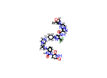 Cn1c(=O)n(C2CCC(=O)NC2=O)c2cccc(N3CC(C)(CN4CCN(C[C@H]5CC[C@H](n6cc(NC(=O)c7cnn8ccc(N9C[C@H]%10CC9CO%10)nc78)c(C(F)F)n6)CC5)CC4)C3)c21